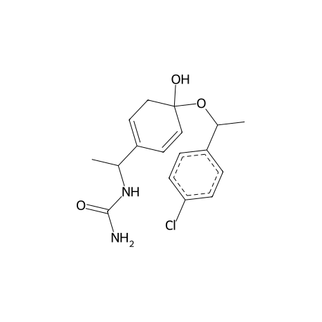 CC(NC(N)=O)C1=CCC(O)(OC(C)c2ccc(Cl)cc2)C=C1